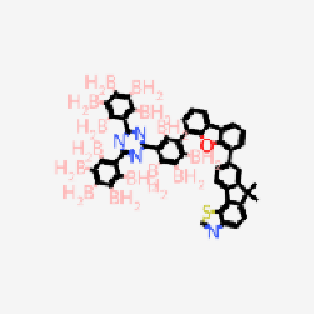 Bc1c(B)c(B)c(-c2nc(-c3c(B)c(B)c(B)c(B)c3B)nc(-c3c(B)c(B)c(B)c(-c4cccc5c4oc4c(-c6ccc7c(c6)C(C)(C)c6ccc8ncsc8c6-7)cccc45)c3B)n2)c(B)c1B